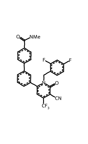 CNC(=O)c1ccc(-c2cccc(-c3cc(C(F)(F)F)c(C#N)c(=O)n3Cc3ccc(F)cc3F)c2)cc1